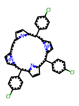 Clc1ccc(-c2c3nc(c(-c4ccc(Cl)cc4)c4ccc([nH]4)c(-c4ccc(Cl)cc4)c4nc(cc5ccc2[nH]5)C=C4)C=C3)cc1